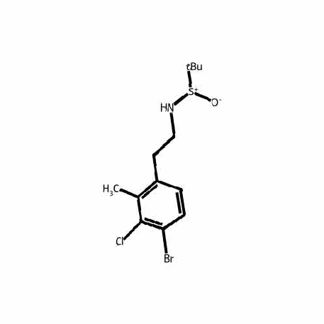 Cc1c(CCN[S+]([O-])C(C)(C)C)ccc(Br)c1Cl